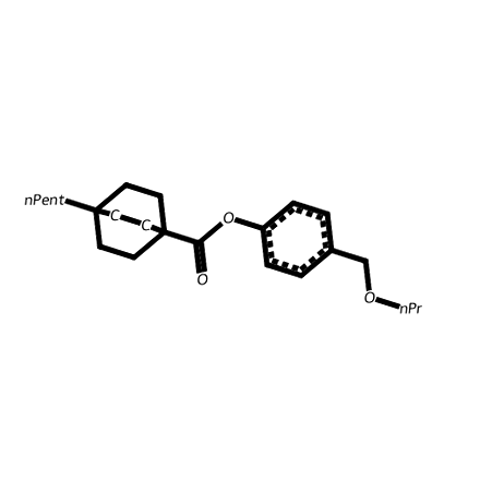 CCCCCC12CCC(C(=O)Oc3ccc(COCCC)cc3)(CC1)CC2